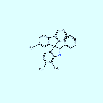 Cc1ccc2c(c1)C1(C(c3ccccc3)=Nc3c1ccc(C)c3C)c1ccccc1-2